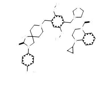 CCOc1cc(CN2CSC[C@@H]2C(=O)N2CCN(C3CC3)c3ccccc32)c(OCC)cc1CN1CCC2(CC1)CN(c1ccc(C(=O)O)cc1)C(=O)N2